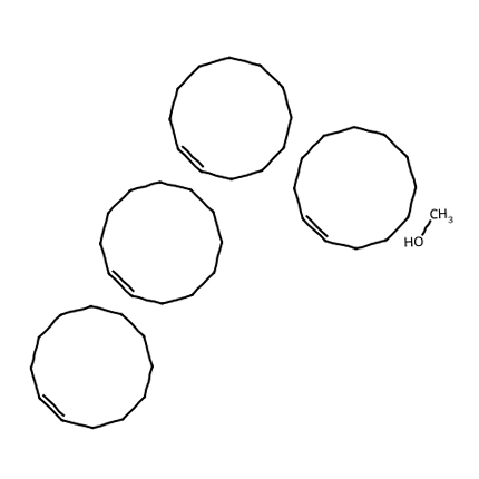 C1=CCCCCCCCCCC1.C1=CCCCCCCCCCC1.C1=CCCCCCCCCCC1.C1=CCCCCCCCCCC1.CO